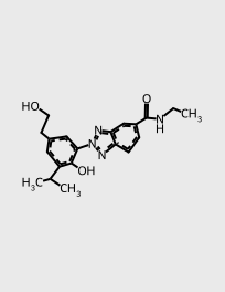 CCNC(=O)c1ccc2nn(-c3cc(CCO)cc(C(C)C)c3O)nc2c1